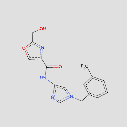 O=C(Nc1cn(Cc2cccc(C(F)(F)F)c2)cn1)c1coc(CO)n1